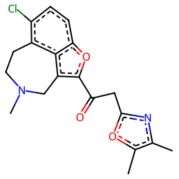 Cc1nc(CC(=O)c2oc3ccc(Cl)c4c3c2CN(C)CC4)oc1C